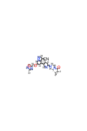 C=CC(C)C(=O)N1CCN(c2ccc(-c3cc(OCc4nc(C)no4)cn4ncc(C#N)c34)cn2)CC1